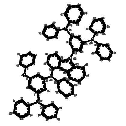 c1ccc(Oc2cc(N(c3ccccc3)c3ccccc3)cc(N(c3ccccc3)c3cccc4c3c3ccccc3n4-c3cc(N(c4ccccc4)c4ccccc4)cc(N(c4ccccc4)c4ccccc4)c3)c2)cc1